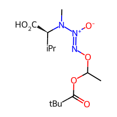 CC(O/N=[N+](\[O-])N(C)[C@H](C(=O)O)C(C)C)OC(=O)C(C)(C)C